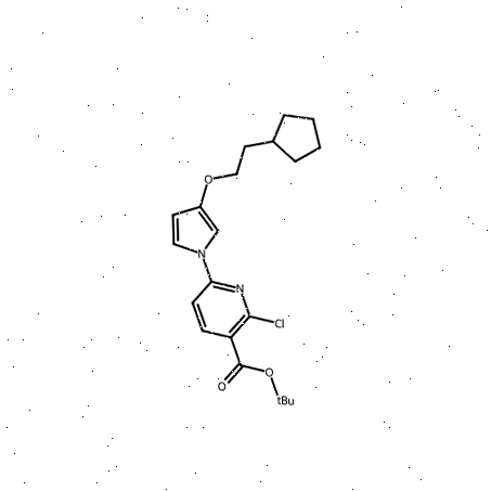 CC(C)(C)OC(=O)c1ccc(-n2ccc(OCCC3CCCC3)c2)nc1Cl